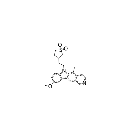 COc1ccc2c(c1)c1cc3cnccc3c(C)c1n2CCC1CCS(=O)(=O)C1